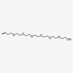 C=CCCOCCOCCOCCOCCOCCOCCO